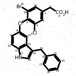 O=C(O)Cc1cc(Cl)c(Oc2ccc3[nH]cc(Cc4ccccc4)c3c2)c(Br)c1